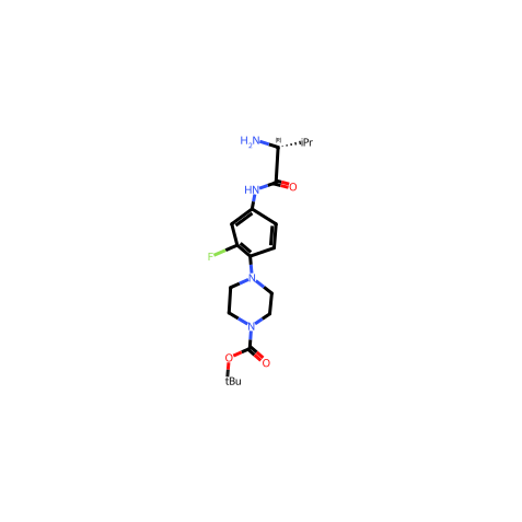 CC(C)[C@@H](N)C(=O)Nc1ccc(N2CCN(C(=O)OC(C)(C)C)CC2)c(F)c1